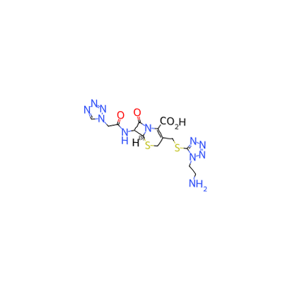 NCCn1nnnc1SCC1=C(C(=O)O)N2C(=O)C(NC(=O)Cn3cnnn3)[C@@H]2SC1